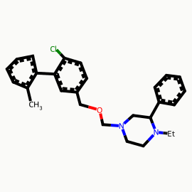 CCN1CCN(COCc2ccc(Cl)c(-c3ccccc3C)c2)CC1c1ccccc1